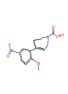 COc1ccc([N+](=O)[O-])cc1C1=CCN(C(=O)O)CC1